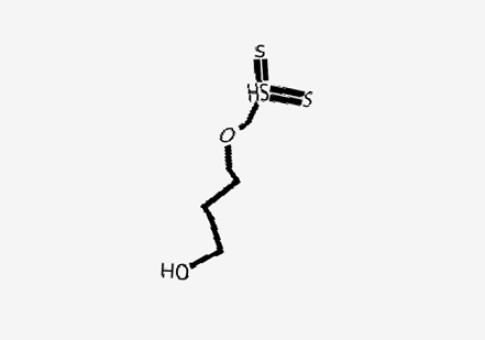 OCCCO[SH](=S)=S